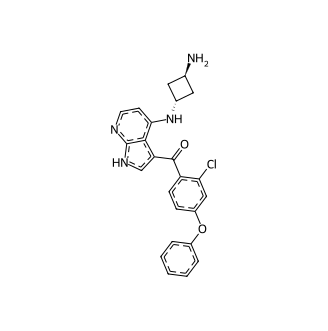 N[C@H]1C[C@H](Nc2ccnc3[nH]cc(C(=O)c4ccc(Oc5ccccc5)cc4Cl)c23)C1